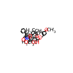 COc1ccc(COC[C@H](C)[C@H](O[Si](C)(C)C(C)(C)C)[C@@H](C)[C@H](O)[C@@H](C)C(=O)N2C(=O)OC[C@H]2Cc2ccccc2)cc1